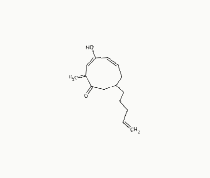 C=CCCCC1C/C=C\C(O)=C/C(=C)C(=O)C1